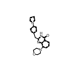 O=c1[nH]c(Cc2ccc(-n3cccc3)cc2)nc2c(N3CCOCC3)cccc12